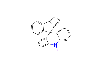 IN1c2ccccc2C2(c3ccccc3-c3ccccc32)c2ccccc21